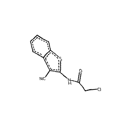 N#Cc1c(NC(=O)CCl)sc2ccccc12